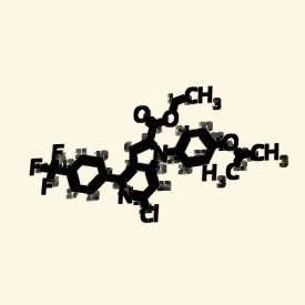 CCOC(=O)c1cc2c(-c3ccc(C(F)(F)F)cc3)nc(Cl)cc2n1-c1ccc(OC(C)C)cc1